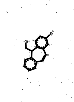 OCC1c2ccccc2C=Cc2cc(Br)ccc21